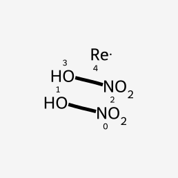 O=[N+]([O-])O.O=[N+]([O-])O.[Re]